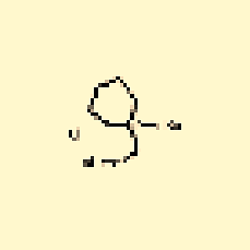 CCCCCCCC[N+]1(CCCC)CCCCC1.[Cl-]